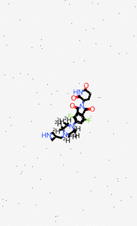 [2H]C1([2H])N(CC2CNC2)C([2H])([2H])C([2H])([2H])N(c2cc(F)c3c(c2F)C(=O)N(C2CCC(=O)NC2=O)C3=O)C1([2H])[2H]